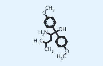 COc1ccc(C(O)(c2ccc(OC)cc2)C(N)CC(C)C)cc1